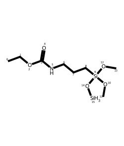 CCOC(=O)NCCC[Si](OC)(OC)O[SiH3]